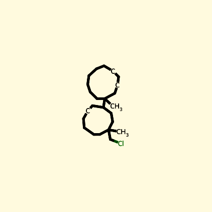 CC1(CCl)CCCCCCC(C2(C)CCCCCCCCCC2)CC1